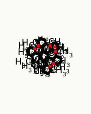 CC(C)(C)c1cccc(C(C)(C)C)c1-c1cc(-c2c(C(C)(C)C)cccc2C(C)(C)C)c(-c2c(C(C)(C)C)cccc2C(C)(C)C)c(-c2ccccc2)c1-c1c(C(C)(C)C)cccc1C(C)(C)C